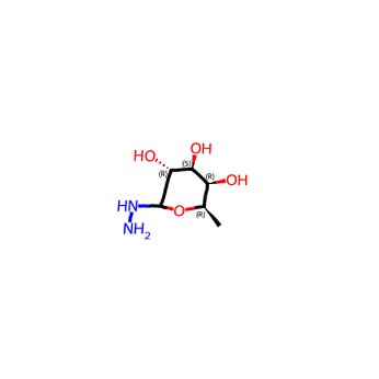 C[C@H]1OC(NN)[C@H](O)[C@@H](O)[C@H]1O